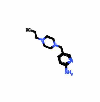 N#CCCN1CCN(Cc2ccc(N)nc2)CC1